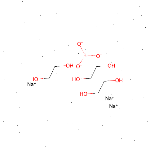 OCCO.OCCO.OCCO.[Na+].[Na+].[Na+].[O-]B([O-])[O-]